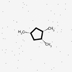 C[C@H]1C[C@@H](C)[C@@H](C)C1